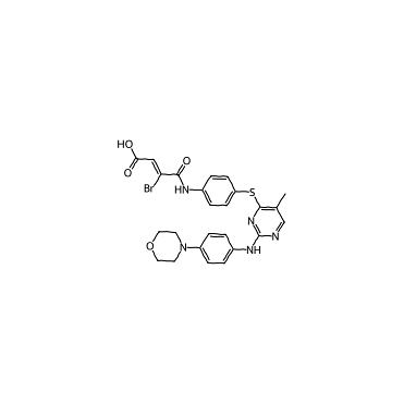 Cc1cnc(Nc2ccc(N3CCOCC3)cc2)nc1Sc1ccc(NC(=O)C(Br)=CC(=O)O)cc1